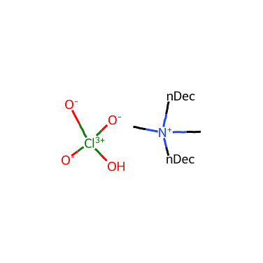 CCCCCCCCCC[N+](C)(C)CCCCCCCCCC.[O-][Cl+3]([O-])([O-])O